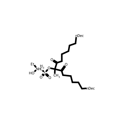 CCCCCCCCCCCCCCCC(=O)C(C)(OS(C)(=O)=O)C(=O)CCCCCCCCCCCCCCC.CCNO